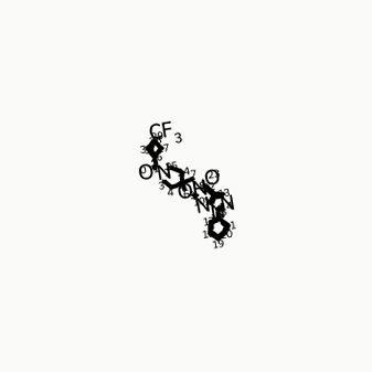 O=C(N1CCC(O)(Cn2cnc3c(cnn3-c3ccccc3)c2=O)CC1)C12CC(C(F)(F)F)(C1)C2